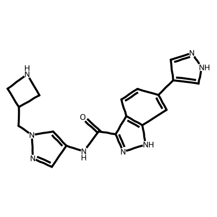 O=C(Nc1cnn(CC2CNC2)c1)c1n[nH]c2cc(-c3cn[nH]c3)ccc12